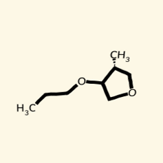 CCCOC1COC[C@H]1C